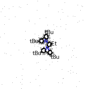 CCc1cc(-n2c3ccc(C(C)(C)C)cc3c3cc(C(C)(C)C)ccc32)cc(-n2c3ccc(C(C)(C)C)cc3c3cc(C(C)(C)C)ccc32)c1